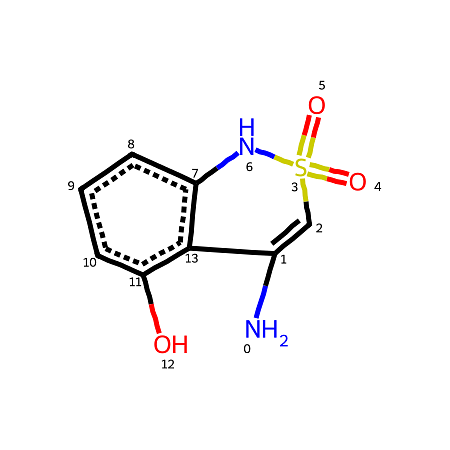 NC1=CS(=O)(=O)Nc2cccc(O)c21